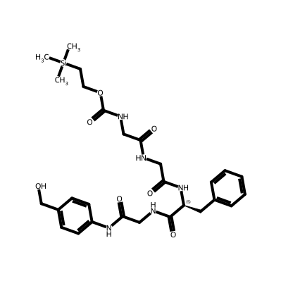 C[Si](C)(C)CCOC(=O)NCC(=O)NCC(=O)N[C@@H](Cc1ccccc1)C(=O)NCC(=O)Nc1ccc(CO)cc1